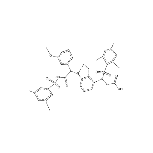 COc1cccc(C(C(=O)NS(=O)(=O)c2cc(C)cc(C)c2)N2CCc3c2cccc3N(CC(=O)O)S(=O)(=O)c2c(C)cc(C)cc2C)c1